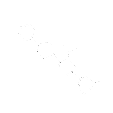 CC(C)C(NC(=O)c1cccc(F)c1)C(=O)N1CCC(c2ccc(Cl)cc2)CC1